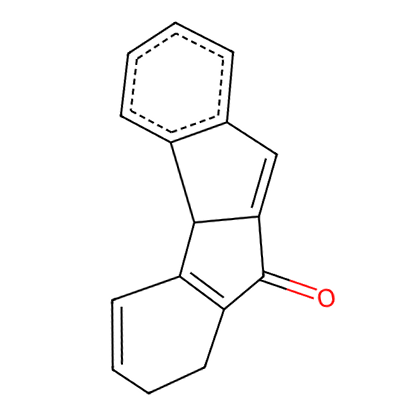 O=C1C2=Cc3ccccc3C2C2=C1CCC=C2